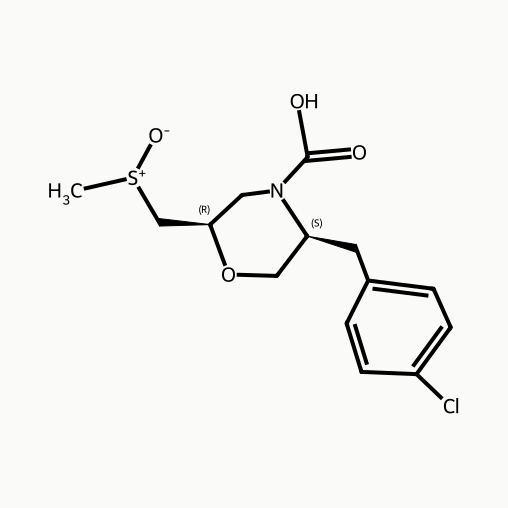 C[S+]([O-])C[C@H]1CN(C(=O)O)[C@@H](Cc2ccc(Cl)cc2)CO1